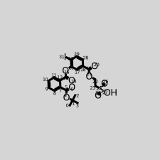 CC(C)(C)OC(=O)c1ccccc1C(=O)Oc1cc(C(=O)OCCS(=O)(=O)O)ccc1I